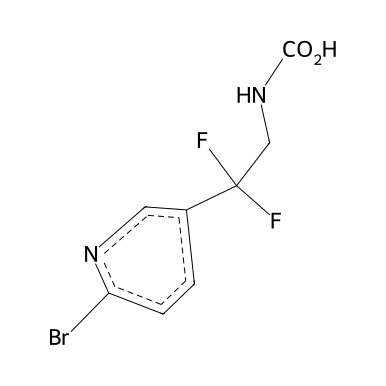 O=C(O)NCC(F)(F)c1ccc(Br)nc1